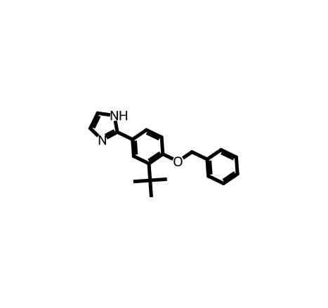 CC(C)(C)c1cc(-c2ncc[nH]2)ccc1OCc1ccccc1